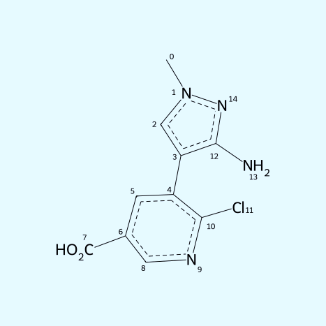 Cn1cc(-c2cc(C(=O)O)cnc2Cl)c(N)n1